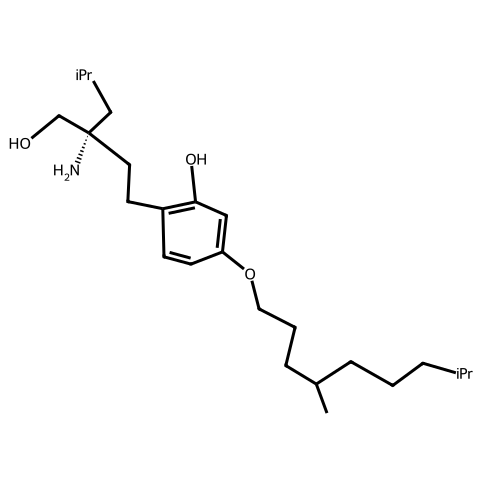 CC(C)CCCC(C)CCCOc1ccc(CC[C@@](N)(CO)CC(C)C)c(O)c1